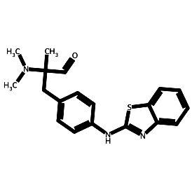 CN(C)C(C)(C=O)Cc1ccc(Nc2nc3ccccc3s2)cc1